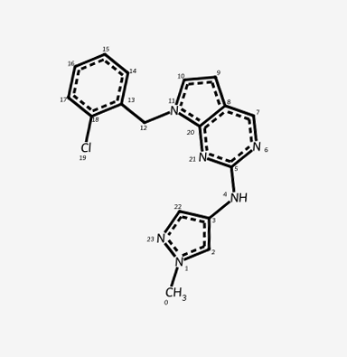 Cn1cc(Nc2ncc3ccn(Cc4ccccc4Cl)c3n2)cn1